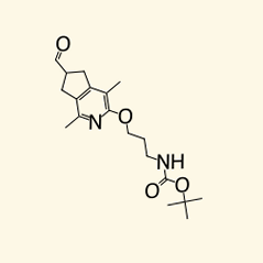 Cc1nc(OCCCNC(=O)OC(C)(C)C)c(C)c2c1CC(C=O)C2